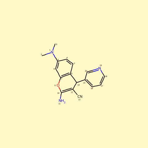 CN(C)c1ccc2c(c1)OC(N)=C(C#N)C2c1cccnc1